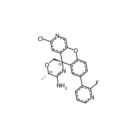 C[C@@H]1OC[C@]2(N=C1N)c1cc(-c3cccnc3F)ccc1Oc1cnc(Cl)cc12